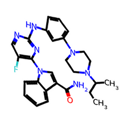 CCC(C)N1CCN(c2cccc(Nc3ncc(F)c(-n4cc(C(N)=O)c5ccccc54)n3)c2)CC1